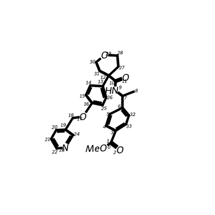 COC(=O)c1ccc(C(C)NC(=O)C2(c3ccc(OCc4cccnc4)cc3)CCOCC2)cc1